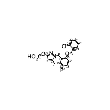 Cc1cc(OC(=O)O)nn1Cc1cc(F)ccc1OCc1ccccc1Cl